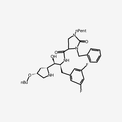 CCCCCN1CC(C(=O)N[C@@H](Cc2cc(F)cc(F)c2)[C@H](O)[C@H]2C[C@@H](OCCCC)CN2)N(Cc2ccccc2)C1=O